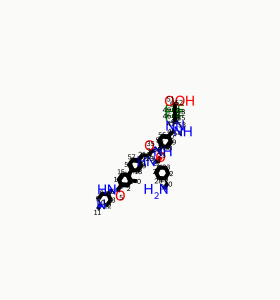 Cc1cc(C(=O)NC2CCN(C)CC2)ccc1-c1ccc(CC(NC(=O)[C@H]2CC[C@H](CN)CC2)C(=O)Nc2ccc(-c3nc(C(F)(F)C(F)(F)C(=O)O)n[nH]3)cc2)cc1